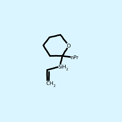 C=C[SiH2]C1(CCC)CCCCO1